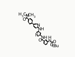 CN(C)C(=O)c1ccc(-c2ccc(Nc3cncc(NC(=O)c4cccc(NC(=O)OC(C)(C)C)c4)c3)nc2)cc1